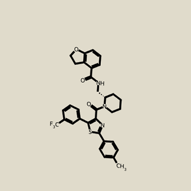 Cc1ccc(-c2nc(C(=O)N3CCCC[C@H]3CNC(=O)c3cccc4c3CCO4)c(-c3cccc(C(F)(F)F)c3)s2)cc1